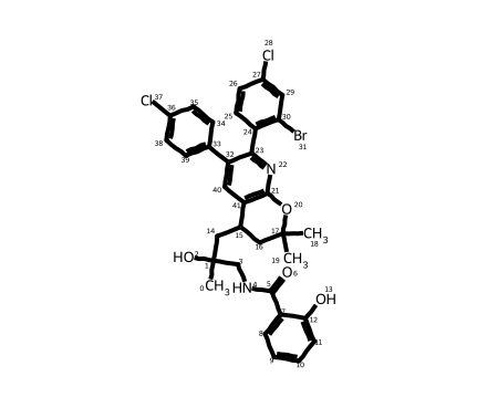 CC(O)(CNC(=O)c1ccccc1O)CC1CC(C)(C)Oc2nc(-c3ccc(Cl)cc3Br)c(-c3ccc(Cl)cc3)cc21